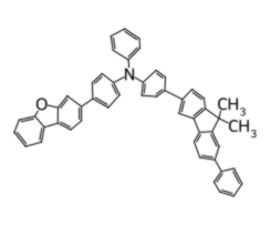 CC1(C)c2ccc(-c3ccc(N(c4ccccc4)c4ccc(-c5ccc6c(c5)oc5ccccc56)cc4)cc3)cc2-c2ccc(-c3ccccc3)cc21